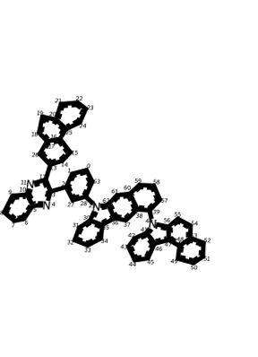 c1cc(-c2nc3ccccc3nc2-c2ccc3c(ccc4ccccc43)c2)cc(-n2c3ccccc3c3cc4c(-n5c6ccccc6c6c7ccccc7ccc65)cccc4cc32)c1